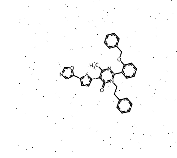 Cc1nc(-c2ccccc2OCc2ccccc2)n(CCc2ccccc2)c(=O)c1-c1ccc(-c2cnco2)s1